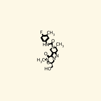 Cc1cc(NC(=O)N2Cc3c(nn4c3C(=O)N(C)O[C@H](CO)C4)C[C@H]2C)ccc1F